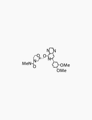 CNC(=O)N1CCO[C@H](COc2nc(-c3ccc(OC)c(OC)c3)cc3nccnc23)C1